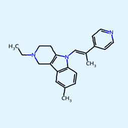 CCN1CCc2c(c3cc(C)ccc3n2/C=C(\C)c2ccncc2)C1